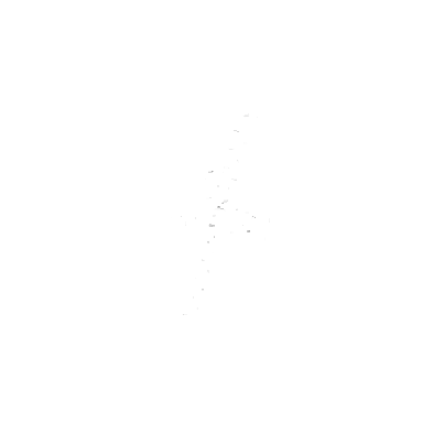 CCCCCCCCC[O][Sn]([CH2]CCC)([CH2]CCC)[O][Sn]([CH2]CCC)([CH2]CCC)[O]CCCCCCCCC